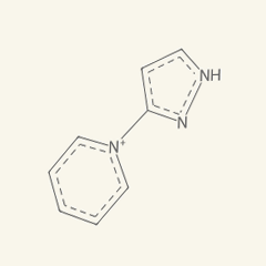 c1cc[n+](-c2cc[nH]n2)cc1